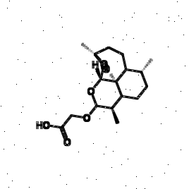 C[C@H]1C(OCC(=O)O)O[C@@H]2O[C@]3(C)CCC4[C@H](C)CCC1[C@]42OO3